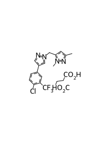 Cc1cc(Cn2cc(-c3ccc(Cl)c(C(F)(F)F)c3)cn2)n(C)n1.O=C(O)CCC(=O)O